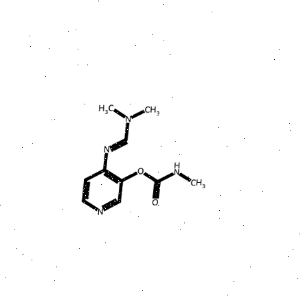 CNC(=O)Oc1cnccc1N=CN(C)C